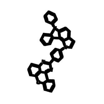 c1ccc(-n2c3ccccc3c3c4c(ccc32)ccn4-c2ccc(-c3nc4c5c(cccc5n3)Oc3ccccc3-4)cc2)cc1